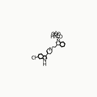 CS(=O)(=O)NC(=O)N1CC(CCN2CC=C(c3c[nH]c4cc(Cl)ccc34)CC2)c2ccccc21